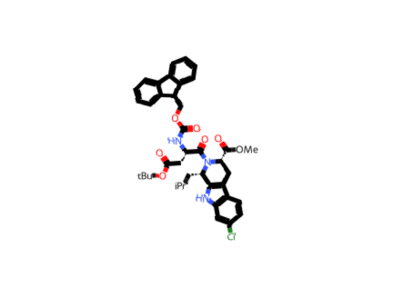 COC(=O)[C@@H]1Cc2c([nH]c3cc(Cl)ccc23)[C@H](CC(C)C)N1C(=O)[C@H](CC(=O)OC(C)(C)C)NC(=O)OCC1c2ccccc2-c2ccccc21